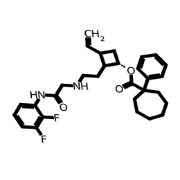 C=CC1C[C@H](OC(=O)C2(c3ccccc3)CCCCCC2)C1CCNCC(=O)Nc1cccc(F)c1F